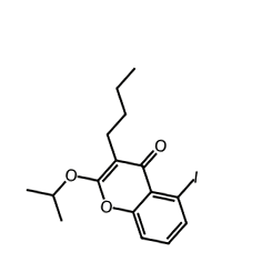 CCCCc1c(OC(C)C)oc2cccc(I)c2c1=O